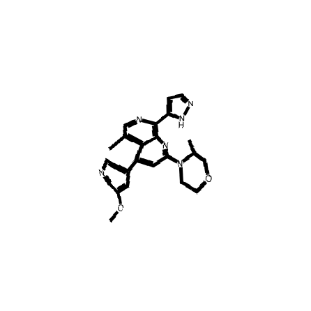 COc1cncc(-c2cc(N3CCOCC3C)nc3c(-c4ccn[nH]4)ncc(C)c23)c1